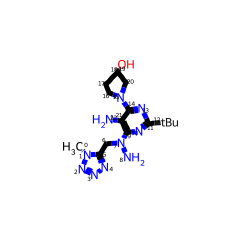 Cn1nnnc1CN(N)c1nc(C(C)(C)C)nc(N2CC[C@H](O)C2)c1N